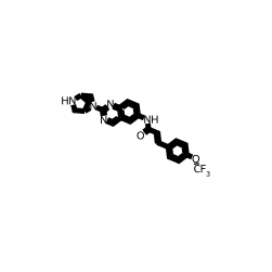 O=C(C=Cc1ccc(OC(F)(F)F)cc1)Nc1ccc2nc(N3CC4CC3CN4)ncc2c1